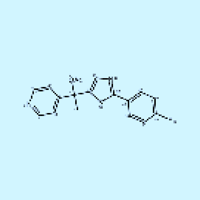 CC(=O)OC(C)(c1ccncc1)c1cnc(-c2ccc(F)cc2)s1